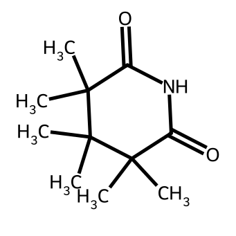 CC1(C)C(=O)NC(=O)C(C)(C)C1(C)C